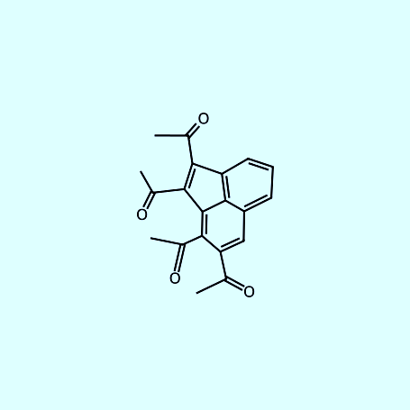 CC(=O)C1=C(C(C)=O)c2c(C(C)=O)c(C(C)=O)cc3cccc1c23